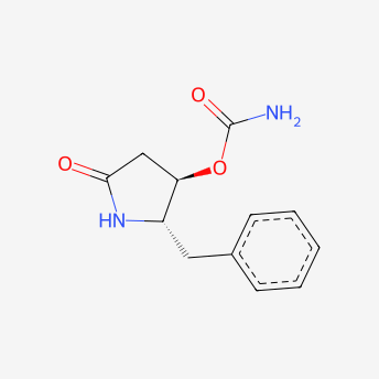 NC(=O)O[C@@H]1CC(=O)N[C@H]1Cc1ccccc1